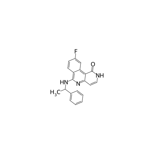 CC(Nc1nc2cc[nH]c(=O)c2c2cc(F)ccc12)c1ccccc1